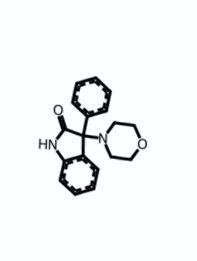 O=C1Nc2ccccc2C1(c1ccccc1)N1CCOCC1